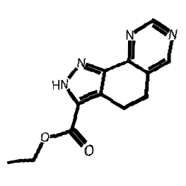 CCOC(=O)c1[nH]nc2c1CCc1cncnc1-2